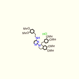 COc1ccc(CCNc2ccnc(N3CCc4cc(OC)c(OC)cc4C3Cc3ccc(OC)c(OC)c3)n2)cc1OC.Cl